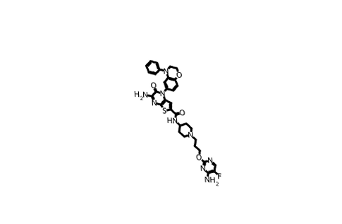 Nc1nc(OCCCN2CCC(NC(=O)c3cc4c(nc(N)c(=O)n4-c4ccc5c(c4)N(c4ccccc4)CCO5)s3)CC2)ncc1F